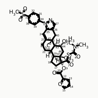 CN(C)C(=O)SC(=O)[C@@]1(OC(=O)c2ccco2)CC[C@H]2[C@@H]3CCC4=Cc5c(cnn5-c5ccc(S(C)(=O)=O)cc5)C[C@]4(C)[C@H]3[C@@H](O)C[C@@]21C